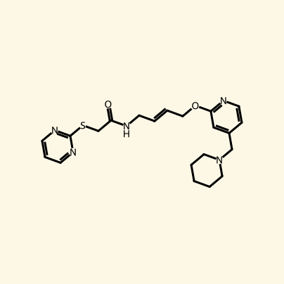 O=C(CSc1ncccn1)NCC=CCOc1cc(CN2CCCCC2)ccn1